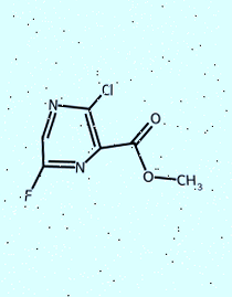 COC(=O)c1nc(F)cnc1Cl